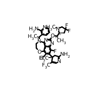 C[C@H](Oc1nc2c3c(c(Cl)c([C@]4(C)CC(N)=NC=C4C(F)(F)F)c(F)c3n1)OCCN2[C@H](C)c1cccnc1N)[C@@H]1CC(F)(F)CN1C